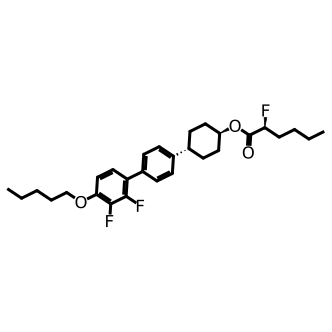 CCCCCOc1ccc(-c2ccc([C@H]3CC[C@H](OC(=O)[C@@H](F)CCCC)CC3)cc2)c(F)c1F